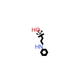 CC(C)(CCCNc1ccccc1)[Si](C)(C)O